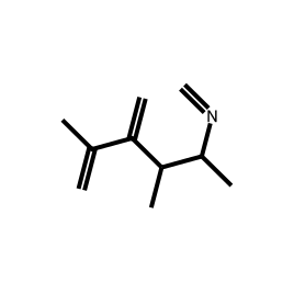 C=NC(C)C(C)C(=C)C(=C)C